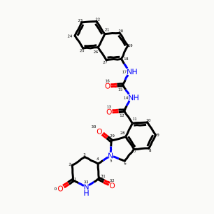 O=C1CCC(N2Cc3cccc(C(=O)NC(=O)Nc4ccc5ccccc5c4)c3C2=O)C(=O)N1